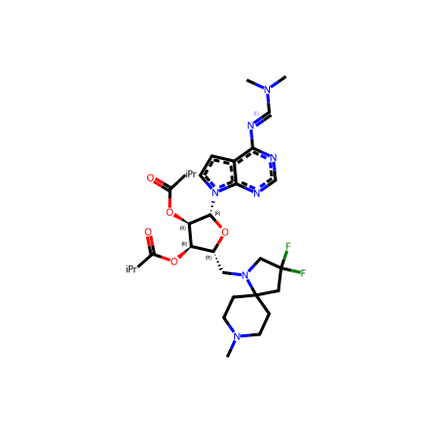 CC(C)C(=O)O[C@@H]1[C@H](OC(=O)C(C)C)[C@@H](CN2CC(F)(F)CC23CCN(C)CC3)O[C@H]1n1ccc2c(/N=C/N(C)C)ncnc21